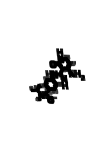 CC(C)N(C)[S+]([O-])c1ccc(NC(=N)c2c(N)cc[nH]c2=O)cc1